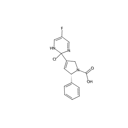 O=C(O)N1CC(C2(Cl)N=CC(F)=CN2)=C[C@H]1c1ccccc1